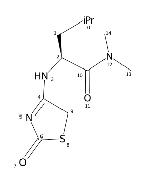 CC(C)C[C@H](NC1=NC(=O)SC1)C(=O)N(C)C